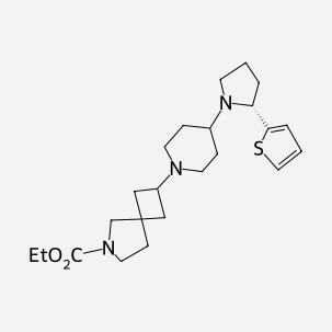 CCOC(=O)N1CCC2(CC(N3CCC(N4CCC[C@@H]4c4cccs4)CC3)C2)C1